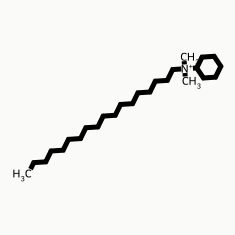 CCCCCCCCCCCCCCCCCC[N+](C)(C)C1CCCCC1